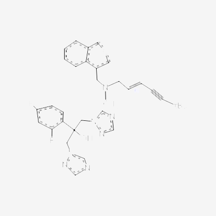 CN(C/C=C/C#CC(C)(C)C)Cc1cccc2ccccc12.OC(Cn1cncn1)(Cn1cncn1)c1ccc(F)cc1F